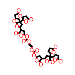 O=C1CCC(C2(C3CCC(=O)O3)CC(C3CC(OC(=O)OC=COC(=O)OC4CC(C5CC(C6CCC(=O)O6)(C6CCC(=O)O6)C(=O)O5)C(=O)O4)OC3=O)OC2=O)O1